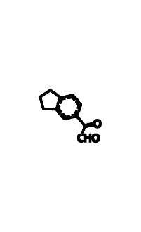 O=CC(=O)c1ccc2c(c1)CCC2